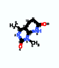 Cc1nc(=O)n(C)c2[nH]c(=O)ccc12